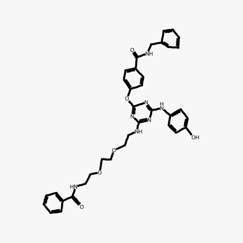 O=C(NCCOCCOCCNc1nc(Nc2ccc(O)cc2)nc(Oc2ccc(C(=O)NCc3ccccc3)cc2)n1)c1ccccc1